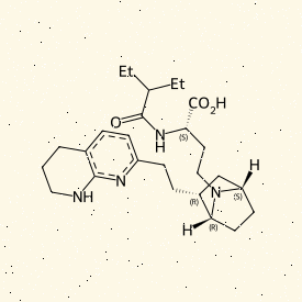 CCC(CC)C(=O)N[C@@H](CCN1[C@H]2CC[C@@H]1[C@H](CCc1ccc3c(n1)NCCC3)C2)C(=O)O